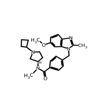 COc1ccc2nc(C)n(Cc3ccc(C(=O)N(C)[C@@H]4CCN(C5CCC5)C4)cc3)c2c1